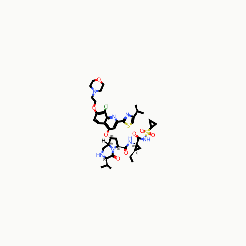 CC[C@@H]1C[C@]1(NC(=O)[C@@H]1C[C@@H](Oc2cc(-c3nc(C(C)C)cs3)nc3c(Cl)c(OCCN4CCOCC4)ccc23)[C@H]2CN[C@H](C(C)C)C(=O)N21)C(=O)NS(=O)(=O)C1CC1